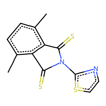 Cc1ccc(C)c2c1C(=S)N(c1nccs1)C2=S